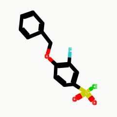 O=S(=O)(Cl)c1ccc(OCc2ccccc2)c(F)c1